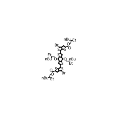 CCCCC(CC)COC(=O)c1cc2c(Br)sc(-c3cc4c(OCC(CC)CCCC)c5sc(-c6sc(Br)c7cc(C(=O)OCC(CC)CCCC)sc67)cc5c(OCC(CC)CCCC)c4s3)c2s1